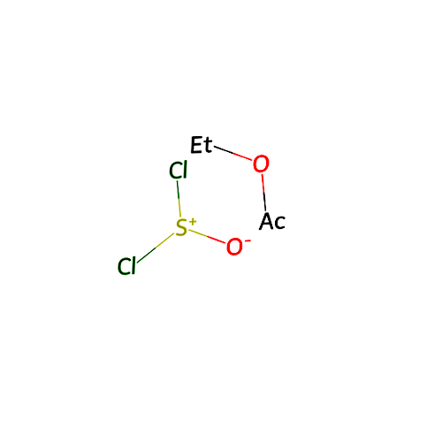 CCOC(C)=O.[O-][S+](Cl)Cl